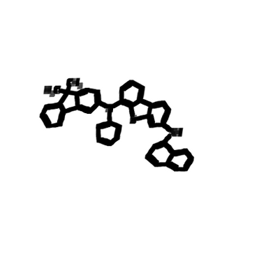 CC1(C)c2ccccc2-c2cc(N(c3ccccc3)c3cccc4c3sc3cc(Nc5cccc6ccccc56)ccc34)ccc21